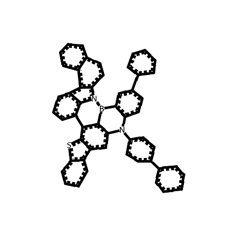 c1ccc(-c2ccc(N3c4ccc(-c5ccccc5)cc4B4c5c3cc3c(sc6ccccc63)c5-c3cccc5c6c7ccccc7ccc6n4c35)cc2)cc1